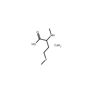 CNC(CCSC)C(=O)O.[CaH2]